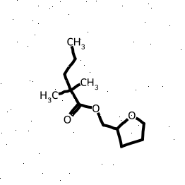 CCCC(C)(C)C(=O)OCC1CCCO1